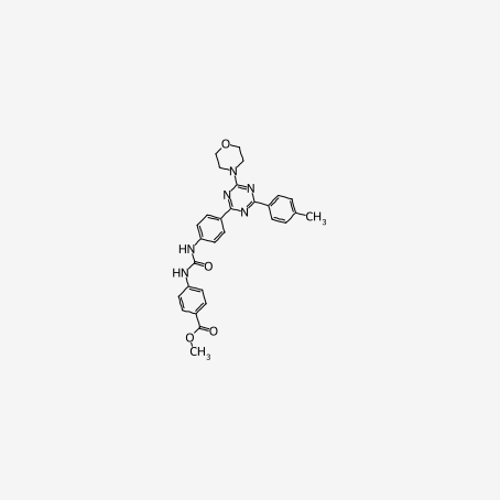 COC(=O)c1ccc(NC(=O)Nc2ccc(-c3nc(-c4ccc(C)cc4)nc(N4CCOCC4)n3)cc2)cc1